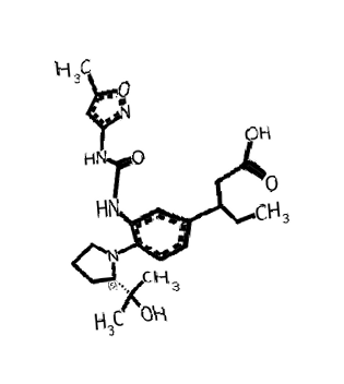 CCC(CC(=O)O)c1ccc(N2CCC[C@H]2C(C)(C)O)c(NC(=O)Nc2cc(C)on2)c1